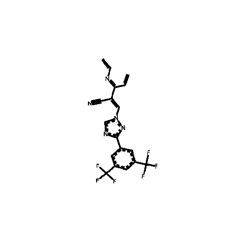 C=C/N=C(C=C)/C(C#N)=C/n1cnc(-c2cc(C(F)(F)F)cc(C(F)(F)F)c2)n1